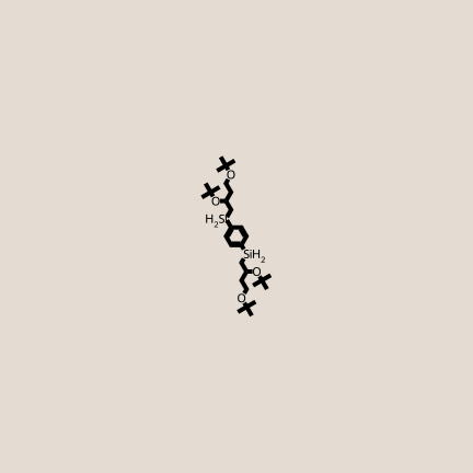 CC(C)(C)OCCC(C[SiH2]c1ccc([SiH2]CC(CCOC(C)(C)C)OC(C)(C)C)cc1)OC(C)(C)C